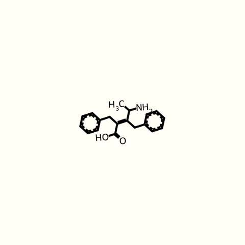 CC(N)C(Cc1ccccc1)=C(Cc1ccccc1)C(=O)O